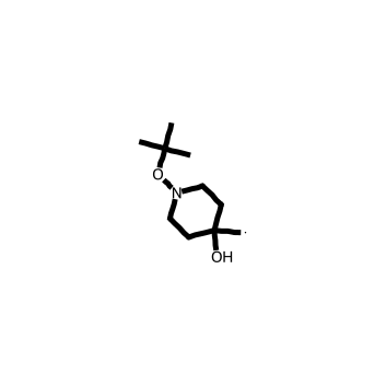 [CH2]C1(O)CCN(OC(C)(C)C)CC1